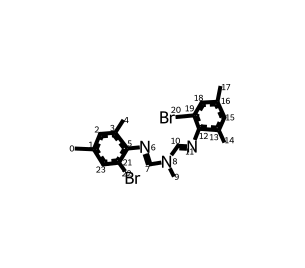 Cc1cc(C)c(N=CN(C)C=Nc2c(C)cc(C)cc2Br)c(Br)c1